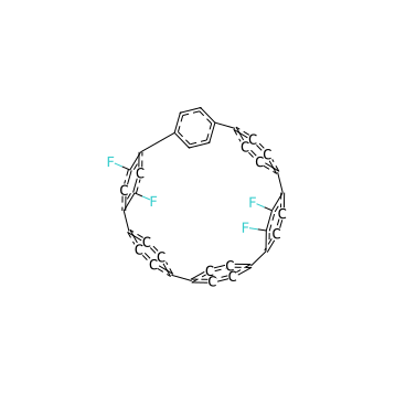 Fc1cc2c(F)cc1-c1ccc(cc1)-c1ccc(cc1)-c1ccc(c(F)c1F)-c1ccc(cc1)-c1ccc-2cc1